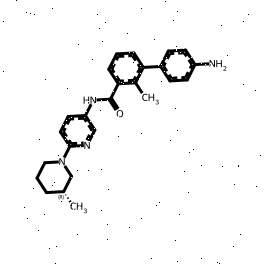 Cc1c(C(=O)Nc2ccc(N3CCC[C@@H](C)C3)nc2)cccc1-c1ccc(N)cc1